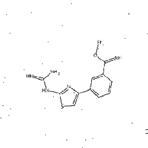 CCOC(=N)c1cccc(-c2csc(NC(=N)N)n2)c1